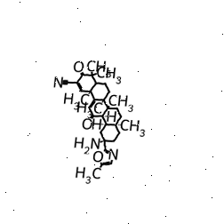 Cc1cnc([C@@]2(N)CC[C@]3(C)CC[C@]4(C)[C@H](C(=O)C=C5[C@@]6(C)C=C(C#N)C(=O)C(C)(C)C6CC[C@]54C)[C@@H]3C2)o1